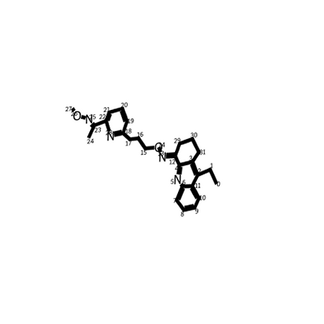 CCc1c2c(nc3ccccc13)/C(=N/OCCCc1cccc(/C(C)=N/OC)n1)CCC2